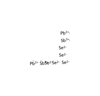 [Pb+2].[Pb+2].[Sb+3].[Sb+3].[Se-2].[Se-2].[Se-2].[Se-2].[Se-2]